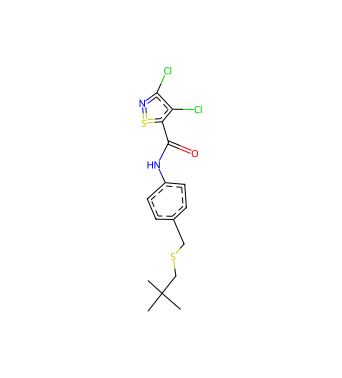 CC(C)(C)CSCc1ccc(NC(=O)c2snc(Cl)c2Cl)cc1